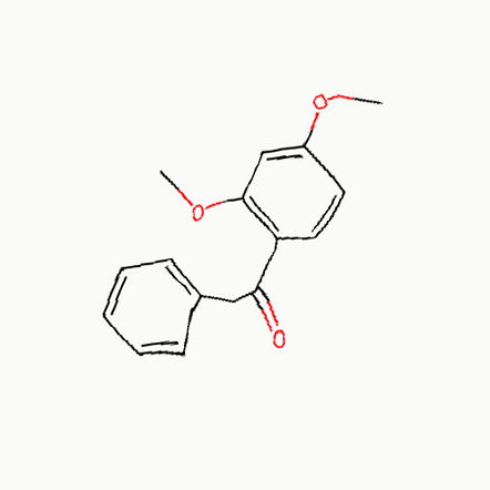 COc1ccc(C(=O)c2ccccc2)c(OC)c1